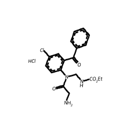 CCOC(=O)NCN(C(=O)CN)c1ccc(Cl)cc1C(=O)c1ccccc1.Cl